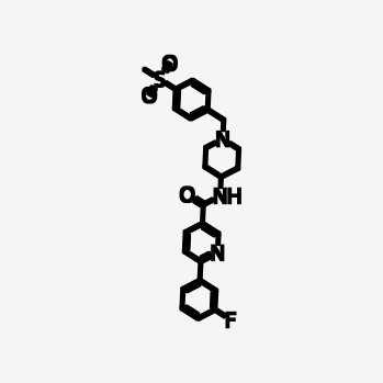 CS(=O)(=O)c1ccc(CN2CCC(NC(=O)c3ccc(-c4cccc(F)c4)nc3)CC2)cc1